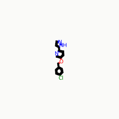 Clc1ccc(COc2ccc(-c3ccn[nH]3)nc2)cc1